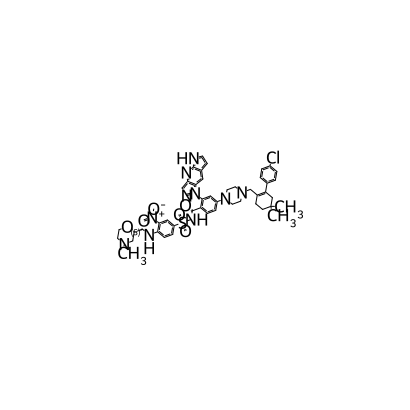 CN1CCO[C@@H](CNc2ccc(S(=O)(=O)NC(=O)c3ccc(N4CCN(CC5=C(c6ccc(Cl)cc6)CC(C)(C)CC5)CC4)cc3-n3ncc4nc5[nH]ccc5cc43)cc2[N+](=O)[O-])C1